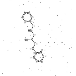 OC(CNCc1ccccc1)COc1ncccn1